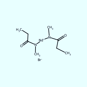 CCC(=O)[N](C)[Nd+][N](C)C(=O)CC.[Br-]